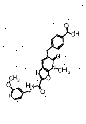 COc1cc(CNC(=O)c2nc3cc(Cc4ccc(C(=O)O)cc4)c(=O)n(C)c3o2)ccn1